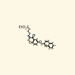 CCOC(=O)CCC/C=C1/COc2ccc(OCc3ccc4ccccc4n3)cc2C1=O